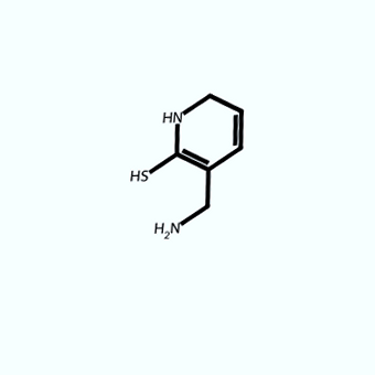 NCC1=C(S)NCC=C1